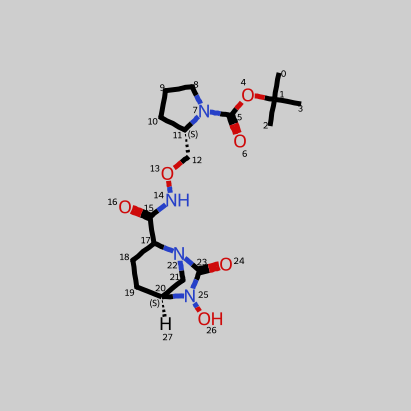 CC(C)(C)OC(=O)N1CCC[C@H]1CONC(=O)C1CC[C@H]2CN1C(=O)N2O